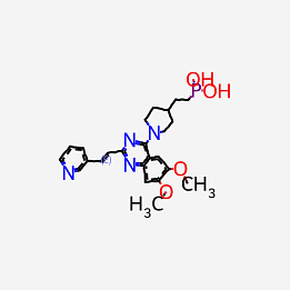 COc1cc2nc(/C=C/c3cccnc3)nc(N3CCC(CCP(O)O)CC3)c2cc1OC